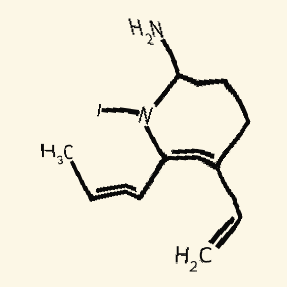 C=CC1=C(/C=C\C)N(I)C(N)CC1